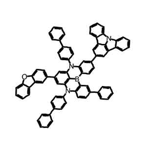 c1ccc(-c2ccc(N3c4ccc(-c5ccccc5)cc4B4c5ccc(-c6cc7c8ccccc8n8c9ccccc9c(c6)c78)cc5N(c5ccc(-c6ccccc6)cc5)c5cc(-c6ccc7oc8ccccc8c7c6)cc3c54)cc2)cc1